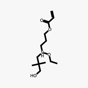 C=CC(=O)OCCC[SiH](CC(C)(C)CO)OCC